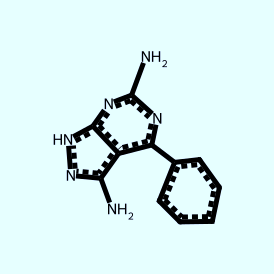 Nc1nc(-c2ccccc2)c2c(N)n[nH]c2n1